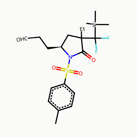 CCC1(C(F)(F)[Si](C)(C)C)C[C@H](CCC=O)N(S(=O)(=O)c2ccc(C)cc2)C1=O